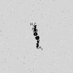 CCCCCCOc1ccc([C@H]2CC[C@H](OC(=O)[C@@H](F)CCCC)CC2)cc1